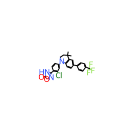 CC1(C)CCN(c2ccc(-c3noc(=O)[nH]3)c(Cl)c2)c2ccc(-c3ccc(C(F)(F)F)cc3)cc21